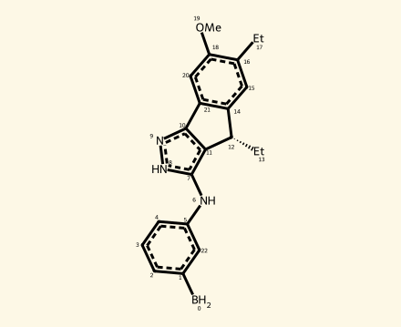 Bc1cccc(Nc2[nH]nc3c2[C@@H](CC)c2cc(CC)c(OC)cc2-3)c1